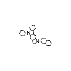 C1=CC2C=CC(n3ccc4cc5c(cc43)c3ccccc3n5-c3ccccc3)=CC2C=C1